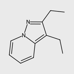 CCc1nn2ccccc2c1CC